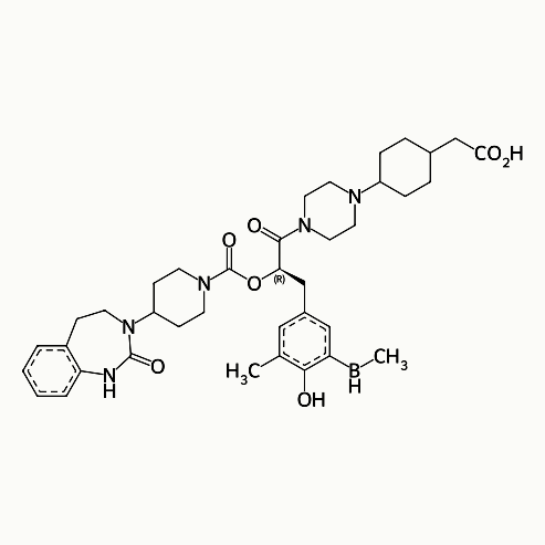 CBc1cc(C[C@@H](OC(=O)N2CCC(N3CCc4ccccc4NC3=O)CC2)C(=O)N2CCN(C3CCC(CC(=O)O)CC3)CC2)cc(C)c1O